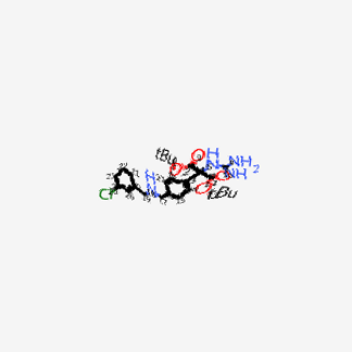 CC(C)(C)OC(=O)C(NC(=N)N)(C(=O)OC(C)(C)C)c1ccc(CNCc2cccc(Cl)c2)cc1